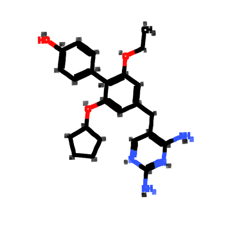 CCOc1cc(Cc2cnc(N)nc2N)cc(OC2CCCC2)c1-c1ccc(O)cc1